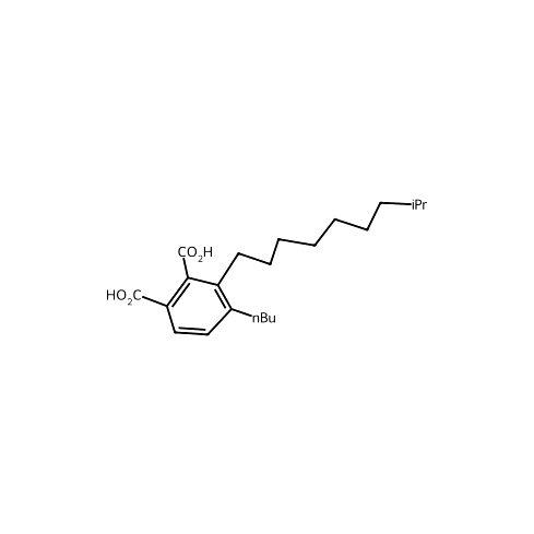 CCCCc1ccc(C(=O)O)c(C(=O)O)c1CCCCCCCC(C)C